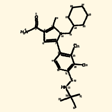 Cc1c(C(N)=O)cc(-c2ccc(SNC(C)(C)C)c(Cl)c2Cl)n1CC1CCCCC1